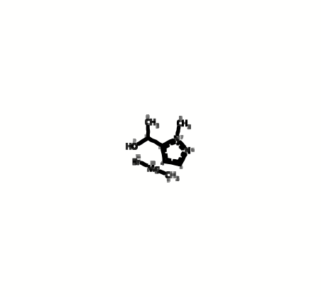 CC(O)c1ccnn1C.[CH3][Mg][Br]